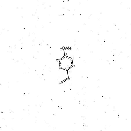 COc1ccc([C]=S)cn1